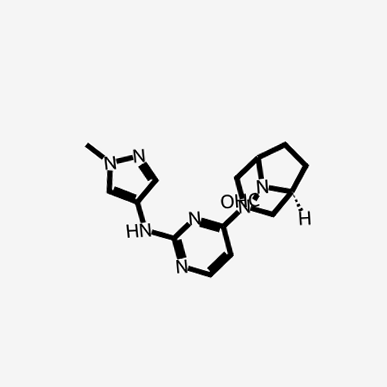 Cn1cc(Nc2nccc(N3CC4CC[C@@H](C3)N4C=O)n2)cn1